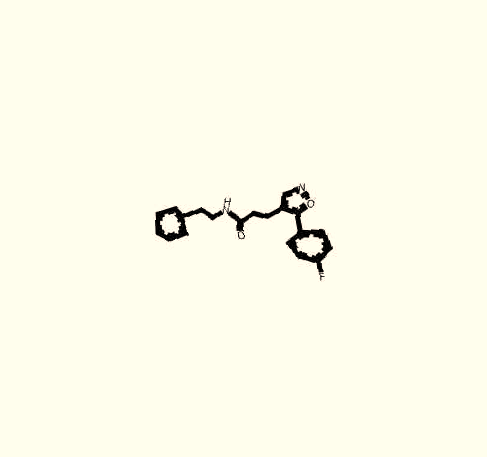 O=C(CCc1cnoc1-c1ccc(F)cc1)NCCc1ccccc1